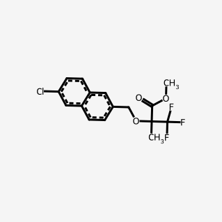 COC(=O)C(C)(OCc1ccc2cc(Cl)ccc2c1)C(F)(F)F